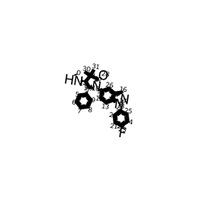 CN[C@@H]1[C@@H](c2ccccc2)N(c2ccc3c(cnn3-c3ccc(F)cc3)c2)C(=O)C1(C)C